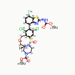 CC(C)(C)OC(=O)Nc1nc2c(-c3c(Cl)cc4c(c3Cl)COC[C@H]3CN(C(=O)OC(C)(C)C)CCN3[S+]4[O-])ccc(F)c2s1